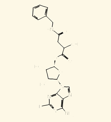 CC(CC(=O)NCc1ccccc1)C(=O)O[C@H]1O[C@@H](n2cnc3c(N)nc(F)nc32)[C@H](O)[C@@H]1O